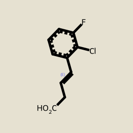 O=C(O)C/C=C/c1cccc(F)c1Cl